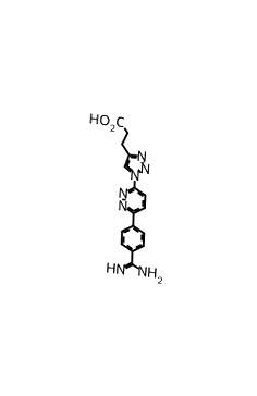 N=C(N)c1ccc(-c2ccc(-n3cc(CCC(=O)O)nn3)nn2)cc1